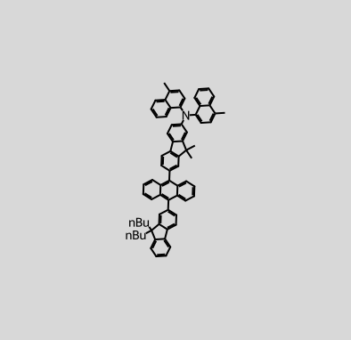 CCCCC1(CCCC)c2ccccc2-c2ccc(-c3c4ccccc4c(-c4ccc5c(c4)C(C)(C)c4cc(N(c6ccc(C)c7ccccc67)c6ccc(C)c7ccccc67)ccc4-5)c4ccccc34)cc21